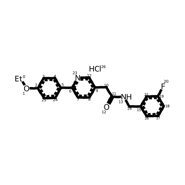 CCOc1ccc(-c2ccc(CC(=O)NCc3cccc(F)c3)cn2)cc1.Cl